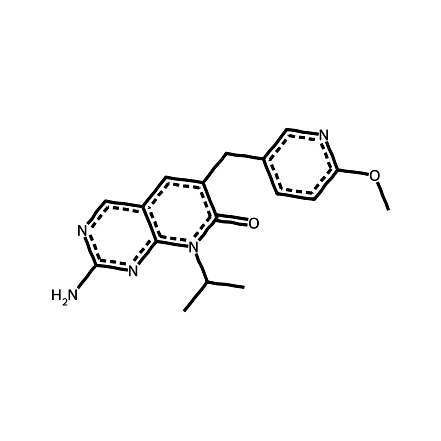 COc1ccc(Cc2cc3cnc(N)nc3n(C(C)C)c2=O)cn1